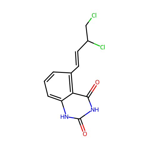 O=c1[nH]c(=O)c2c(/C=C/C(Cl)CCl)cccc2[nH]1